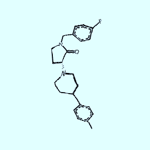 Cc1ccc(C2CCN([C@@H]3CCN(Cc4ccc(F)cc4)C3=O)CC2)cc1